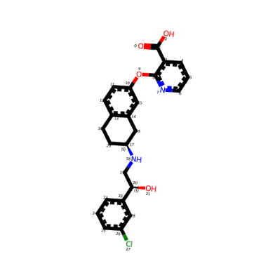 O=C(O)c1cccnc1Oc1ccc2c(c1)C[C@@H](NC[C@@H](O)c1cccc(Cl)c1)CC2